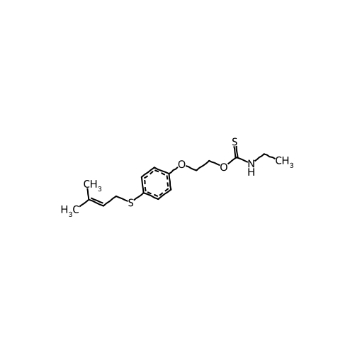 CCNC(=S)OCCOc1ccc(SCC=C(C)C)cc1